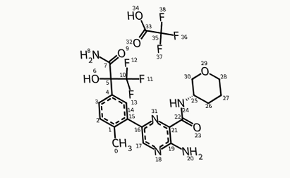 Cc1ccc(C(O)(C(N)=O)C(F)(F)F)cc1-c1cnc(N)c(C(=O)N[C@H]2CCCOC2)n1.O=C(O)C(F)(F)F